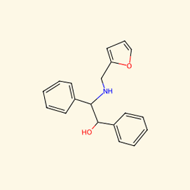 OC(c1ccccc1)C(NCc1ccco1)c1ccccc1